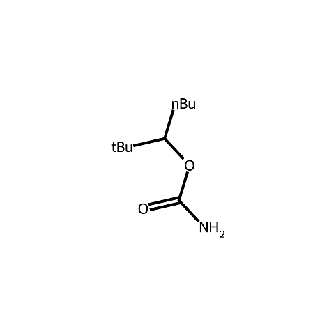 CCCCC(OC(N)=O)C(C)(C)C